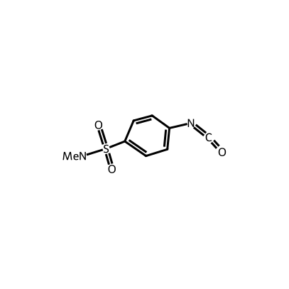 CNS(=O)(=O)c1ccc(N=C=O)cc1